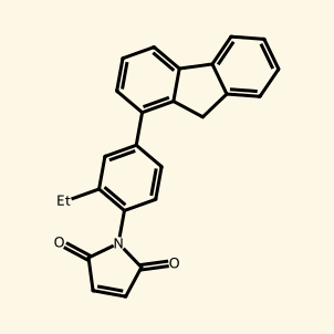 CCc1cc(-c2cccc3c2Cc2ccccc2-3)ccc1N1C(=O)C=CC1=O